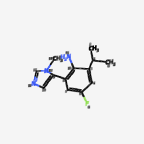 CC(C)c1cc(F)cc(-c2cncn2C)c1N